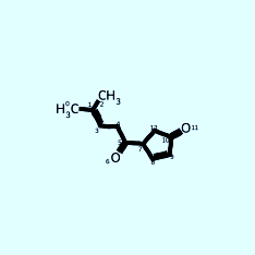 CC(C)=CCC(=O)C1C=CC(=O)C1